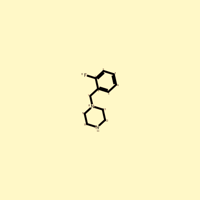 Fc1ccccc1CN1CC[N]CC1